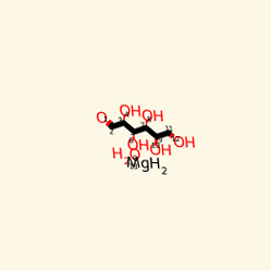 O.O=C[C@H](O)[C@@H](O)[C@H](O)[C@H](O)CO.[MgH2]